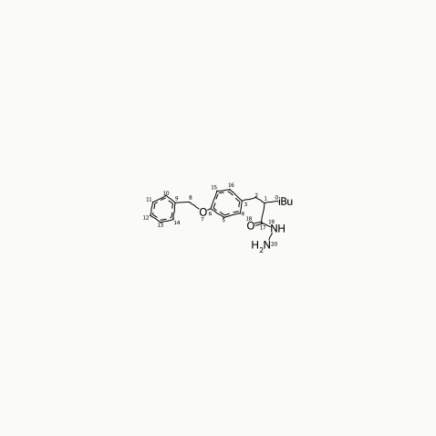 CCC(C)C(Cc1ccc(OCc2ccccc2)cc1)C(=O)NN